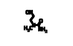 CN(CCN=O)C(N)=O